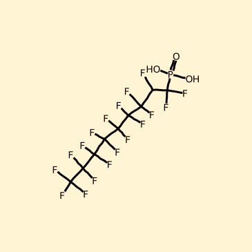 O=P(O)(O)C(F)(F)C(F)C(F)(F)C(F)(F)C(F)(F)C(F)(F)C(F)(F)C(F)(F)C(F)(F)F